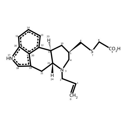 C=CCN1C[C@H](CSCC(=O)O)C[C@@H]2c3cccc4[nH]cc(c34)C[C@H]21